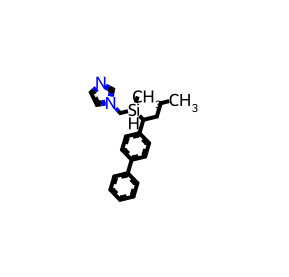 CCCC(c1ccc(-c2ccccc2)cc1)[SiH](C)Cn1ccnc1